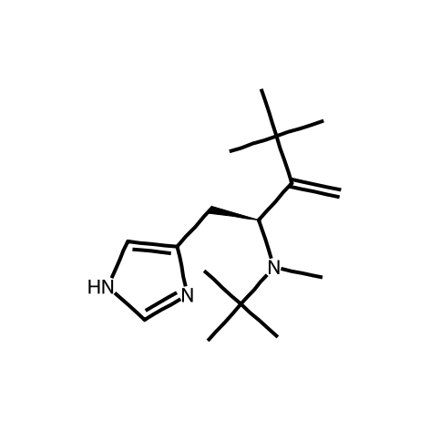 C=C([C@H](Cc1c[nH]cn1)N(C)C(C)(C)C)C(C)(C)C